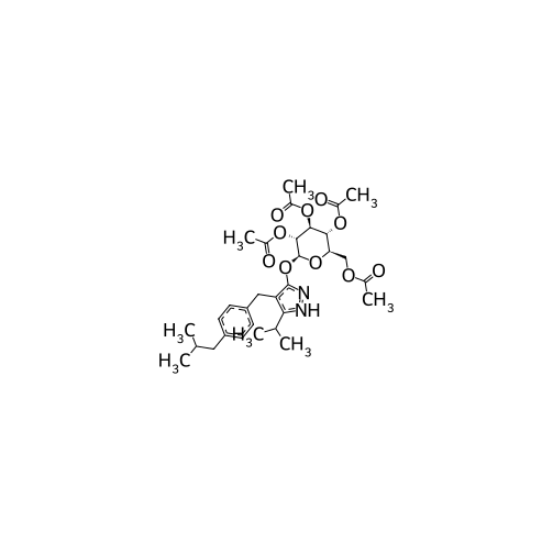 CC(=O)OC[C@H]1O[C@@H](Oc2n[nH]c(C(C)C)c2Cc2ccc(CC(C)C)cc2)[C@H](OC(C)=O)[C@@H](OC(C)=O)[C@@H]1OC(C)=O